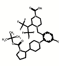 CC(C)(C)OC(=O)N1CCCC1C1CCN(c2cc(Cl)ccc2CN2CCN(C(=O)O)CC2C(C(F)(F)F)C(F)(F)F)CC1